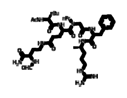 CCCC[C@H](NC(C)=O)C(=O)NC(CCC(=O)NCCC(NC=O)C(N)=O)C(=O)N(CCC)CC(=O)NC(Cc1ccccc1)C(=O)N[C@H](C)CCCNC(=N)N